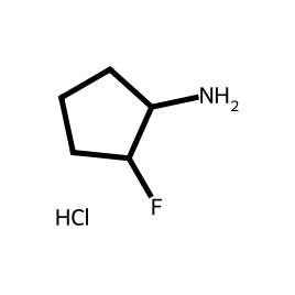 Cl.NC1CCCC1F